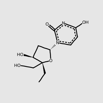 CC[C@]1(CO)O[C@@H](n2ccc(O)nc2=O)C[C@@H]1O